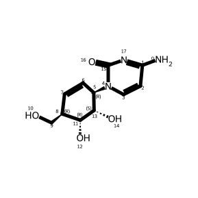 Nc1ccn([C@@H]2C=C[C@H](CO)[C@@H](O)[C@H]2O)c(=O)n1